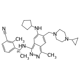 Cc1c(C#N)cccc1[C@@H](C)Nc1nnc(C)c2cc(CN3CCN(C4CC4)CC3)c(NC3CCCC3)cc12